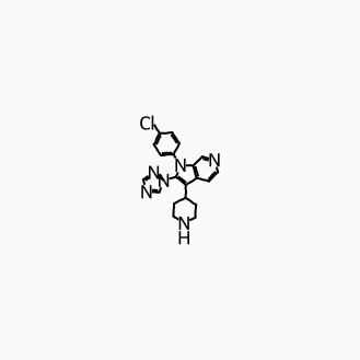 Clc1ccc(-n2c(-n3cncn3)c(C3CCNCC3)c3ccncc32)cc1